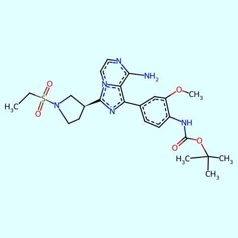 CCS(=O)(=O)N1CC[C@H](c2nc(-c3ccc(NC(=O)OC(C)(C)C)c(OC)c3)c3c(N)nccn23)C1